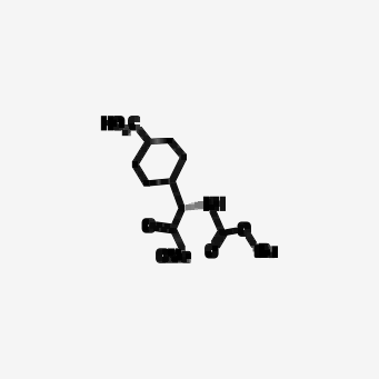 COC(=O)[C@@H](NC(=O)OC(C)(C)C)C1CCC(C(=O)O)CC1